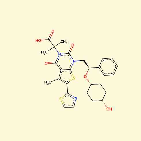 Cc1c(-c2nccs2)sc2c1c(=O)n(C(C)(C)C(=O)O)c(=O)n2C[C@H](O[C@H]1CC[C@@H](O)CC1)c1ccccc1